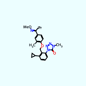 CON=C(c1ccc(OCc2c(C3CC3)cccc2-n2nnn(C)c2=O)c(C)c1)C(C)C